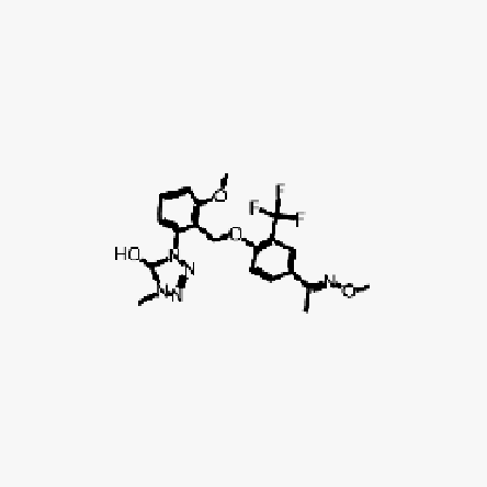 CON=C(C)c1ccc(OCc2c(OC)cccc2N2N=NN(C)C2O)c(C(F)(F)F)c1